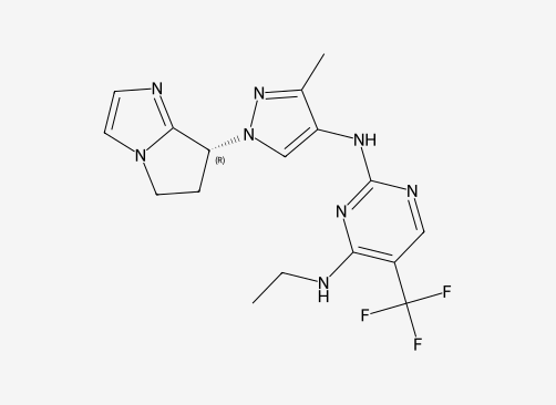 CCNc1nc(Nc2cn([C@@H]3CCn4ccnc43)nc2C)ncc1C(F)(F)F